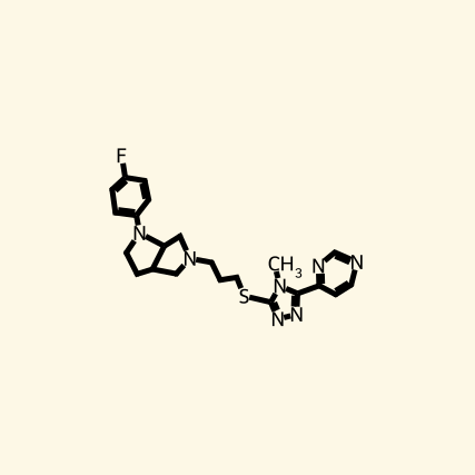 Cn1c(SCCCN2CC3CCN(c4ccc(F)cc4)C3C2)nnc1-c1ccncn1